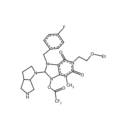 CCOCCn1c(=O)c2c(n(C)c1=O)N(OC(=O)C(F)(F)F)C(N1CCC3CNCC31)N2Cc1ccc(F)cc1